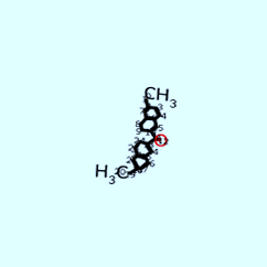 CCc1ccc2c(c1)CCC(C(=O)C1=Cc3ccc(CC)cc3CC1)=C2